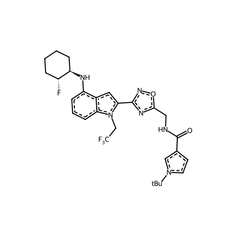 CC(C)(C)n1ccc(C(=O)NCc2nc(-c3cc4c(N[C@@H]5CCCC[C@H]5F)cccc4n3CC(F)(F)F)no2)c1